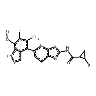 CCOc1c(F)c(C)c(-c2ccc3nc(NC(=O)C4CC4F)sc3n2)c2cn[nH]c12